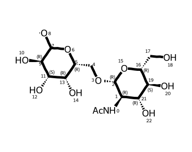 CC(=O)N[C@H]1[C@H](OC[C@H]2OC([O])[C@H](O)[C@@H](O)[C@H]2O)O[C@H](CO)[C@@H](O)[C@@H]1O